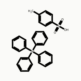 Cc1ccc(S(=O)(=O)O)cc1.c1ccc([N+](c2ccccc2)(c2ccccc2)c2ccccc2)cc1